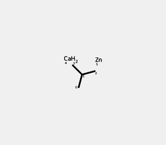 C[C](C)C.[CaH2].[Zn]